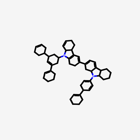 C1=CCC(C2C=C(C3=CCCCC3)CC(N3C4=C(C=C(C5=CC=C6C7CCCCC7N(C7=CCC(C8=CCCCC8)C=C7)C6C5)CC4)C4CCC=CC43)C2)CC1